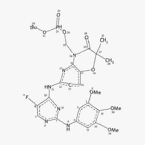 COc1cc(Nc2ncc(F)c(Nc3ccc4c(n3)N(CO[PH](=O)OC(C)(C)C)C(=O)C(C)(C)O4)n2)cc(OC)c1OC